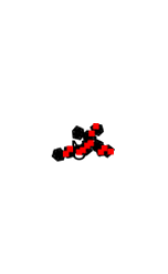 CC1(C)c2ccccc2-c2ccc(N(c3cc(-c4ccccc4)cc(-c4ccccc4)c3)c3ccc4oc(-c5ccc(-c6ccccc6)cc5)nc4c3)cc21